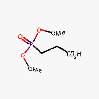 COOP(=O)(CCC(=O)O)OOC